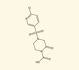 O=C(O)N1CCN(S(=O)(=O)c2ccc(Cl)nc2)CC1=O